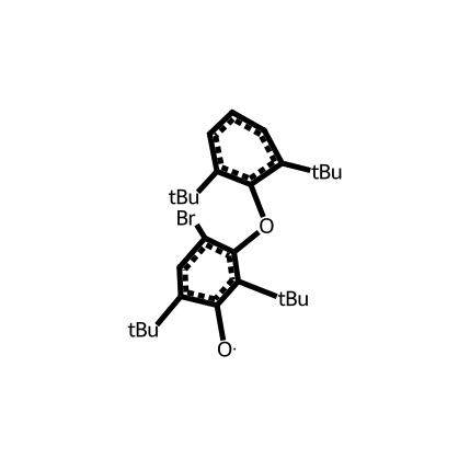 CC(C)(C)c1cc(Br)c(Oc2c(C(C)(C)C)cccc2C(C)(C)C)c(C(C)(C)C)c1[O]